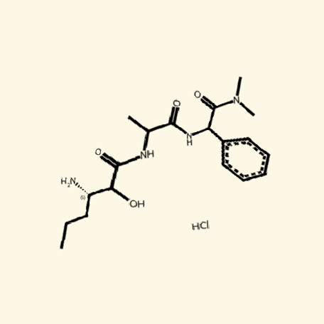 CCC[C@H](N)C(O)C(=O)NC(C)C(=O)NC(C(=O)N(C)C)c1ccccc1.Cl